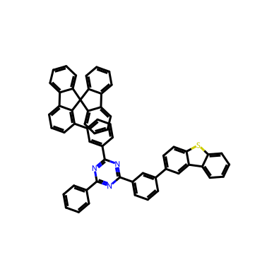 c1ccc(-c2nc(-c3cccc(-c4ccc5sc6ccccc6c5c4)c3)nc(-c3cccc(-c4cccc5c4C4(c6ccccc6-c6ccccc64)c4ccccc4-5)c3)n2)cc1